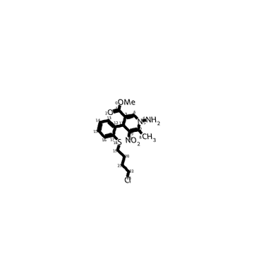 COC(=O)C1=CN(N)C(C)=C([N+](=O)[O-])C1c1ccccc1SCCCCCl